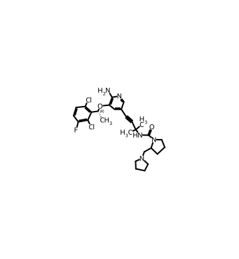 C[C@@H](Oc1cc(C#CC(C)(C)NC(=O)N2CCCC2CN2CCCC2)cnc1N)c1c(Cl)ccc(F)c1Cl